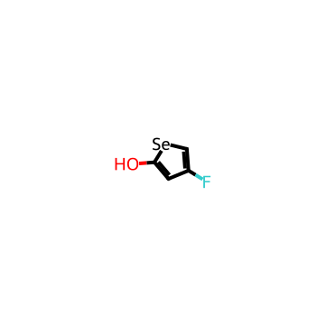 Oc1cc(F)c[se]1